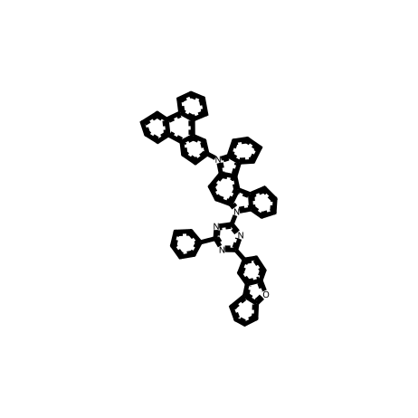 c1ccc(-c2nc(-c3ccc4oc5ccccc5c4c3)nc(-n3c4ccccc4c4c5c6ccccc6n(-c6ccc7c8ccccc8c8ccccc8c7c6)c5ccc43)n2)cc1